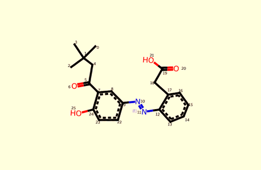 CC(C)(C)CC(=O)c1cc(/N=N/c2ccccc2CC(=O)O)ccc1O